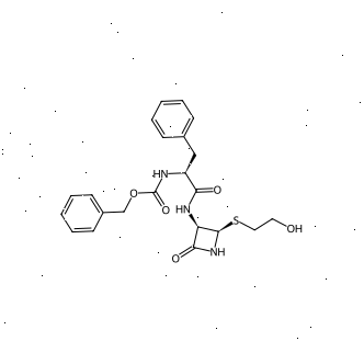 O=C(N[C@@H](Cc1ccccc1)C(=O)N[C@@H]1C(=O)N[C@@H]1SCCO)OCc1ccccc1